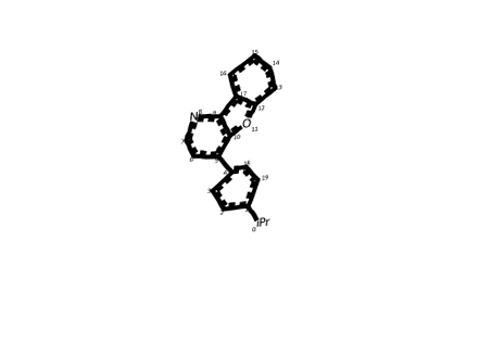 CC(C)c1ccc(-c2ccnc3c2oc2ccccc23)cc1